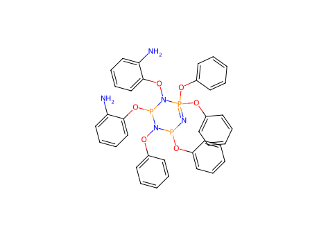 Nc1ccccc1ON1P(Oc2ccccc2N)N(Oc2ccccc2)P(Oc2ccccc2)N=P1(Oc1ccccc1)Oc1ccccc1